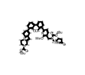 COc1nc(-c2cccc(-c3cccc(-c4ccc5c(c4)cc4n5CCN(C(=O)OC(C)(C)C)C4)c3Cl)c2Cl)ccc1CN(C[C@@H]1CCC(=O)N1)C(=O)OC(C)(C)C